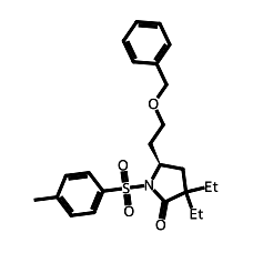 CCC1(CC)C[C@H](CCOCc2ccccc2)N(S(=O)(=O)c2ccc(C)cc2)C1=O